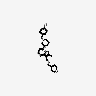 Cc1nn2c([C@@H]3CCCN(Cc4ccc(Cl)cc4)C3)ccnc2c1CNCC1CCOCC1